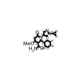 COc1cc(=O)n(-c2cnn(C3CC3)c2)c(-c2ccccc2)c1C(N)=O